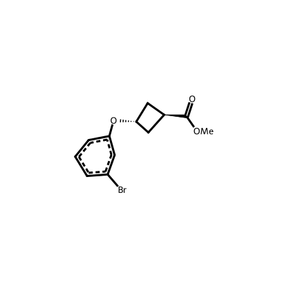 COC(=O)[C@H]1C[C@H](Oc2cccc(Br)c2)C1